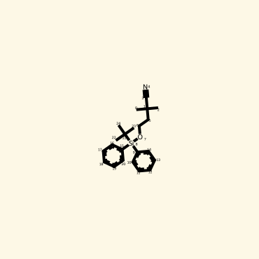 CC(C)(C#N)CCO[Si](c1ccccc1)(c1ccccc1)C(C)(C)C